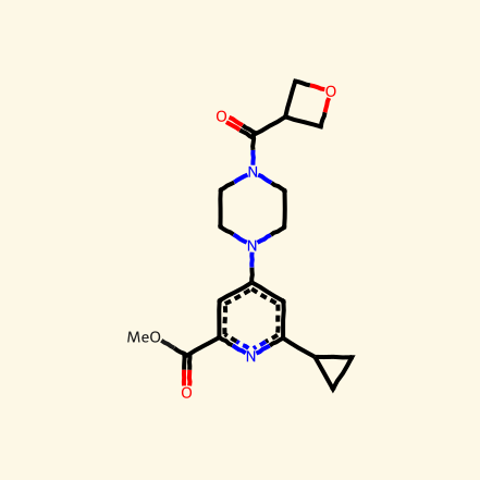 COC(=O)c1cc(N2CCN(C(=O)C3COC3)CC2)cc(C2CC2)n1